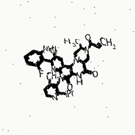 C=CC(=O)N1CC2C(=O)Nc3c(c4cc(Cl)c(-c5c(N)cccc5F)nc4n(-c4c(C)ccnc4C(C)C)c3=O)N2CC1C